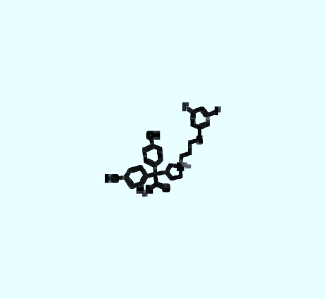 C[N+]1(CCCSc2cc(F)cc(F)c2)CCC(C(C(N)=O)(c2ccc(O)cc2)c2ccc(O)cc2)C1